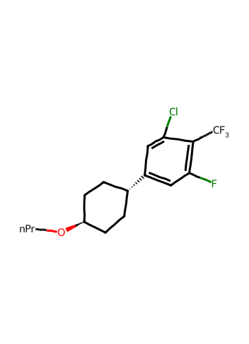 CCCO[C@H]1CC[C@H](c2cc(F)c(C(F)(F)F)c(Cl)c2)CC1